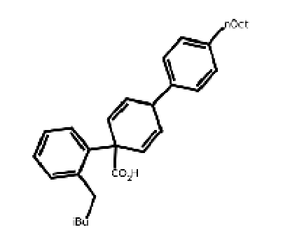 CCCCCCCCc1ccc(C2C=CC(C(=O)O)(c3ccccc3CC(C)CC)C=C2)cc1